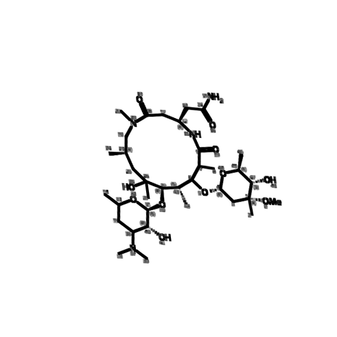 CO[C@]1(C)C[C@H](OC2C(C)C(=O)N[C@H](CC(N)=O)CC(=O)N(C)C[C@H](C)CC(C)(O)[C@H](O[C@@H]3OC(C)CC(N(C)C)[C@H]3O)[C@H]2C)O[C@@H](C)[C@@H]1O